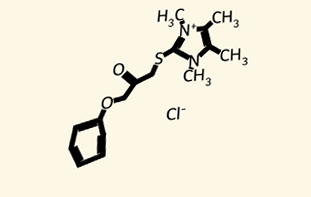 Cc1c(C)[n+](C)c(SCC(=O)COc2ccccc2)n1C.[Cl-]